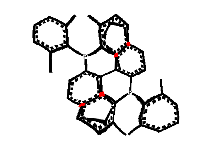 Cc1cccc(C)c1P(c1ccc2c(c1-c1c(P(c3c(C)cccc3C)c3c(C)cccc3C)ccc3c1OCO3)OCO2)c1c(C)cccc1C